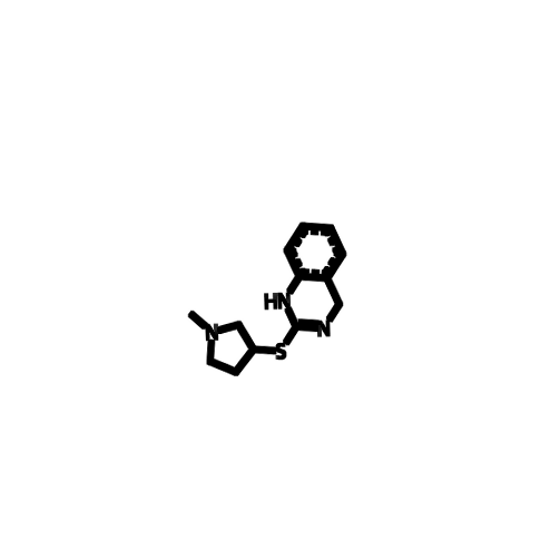 CN1CCC(SC2=NCc3ccccc3N2)C1